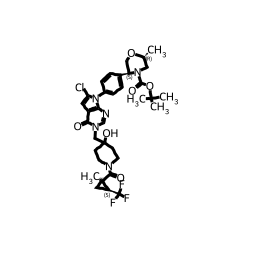 C[C@@H]1CN(C(=O)OC(C)(C)C)[C@@H](c2ccc(-n3c(Cl)cc4c(=O)n(CC5(O)CCN(C(=O)[C@@]6(C)C[C@@H]6C(F)(F)F)CC5)cnc43)cc2)CO1